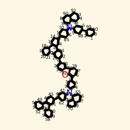 c1ccc(-c2ccc(N(c3ccc(-c4ccc(-c5ccccc5)c(-c5ccc(-c6ccc7oc8c(-c9ccc(N(c%10ccc(-c%11ccc(-c%12ccccc%12)c(-c%12ccccc%12)c%11)cc%10)c%10cccc%11ccccc%10%11)cc9)cccc8c7c6)cc5)c4)cc3)c3cccc4ccccc34)cc2)cc1